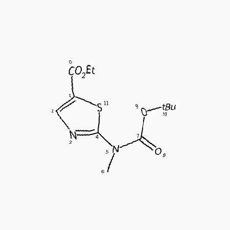 CCOC(=O)c1cnc(N(C)C(=O)OC(C)(C)C)s1